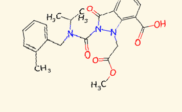 COC(=O)Cn1c2c(C(=O)O)cccc2c(=O)n1C(=O)N(Cc1ccccc1C)C(C)C